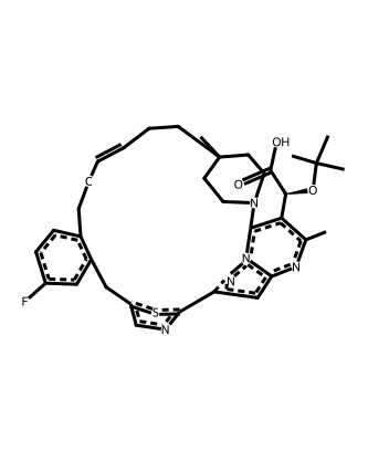 Cc1nc2cc3nn2c(c1[C@H](OC(C)(C)C)C(=O)O)N1CCC(C)(CC/C=C/CCc2ccc(F)cc2Cc2cnc-3s2)CC1